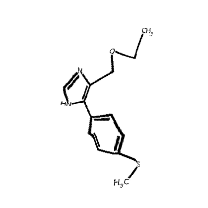 CCOCc1nc[nH]c1-c1ccc(SC)cc1